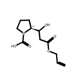 C=CCOC(=O)CC(O)[C@@H]1CCCN1C(=O)O